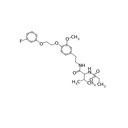 CCS(=O)(=O)NC(C(=O)NCCc1ccc(OCCOc2cccc(F)c2)c(OC)c1)C(C)C